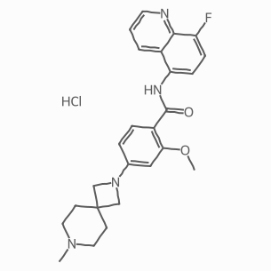 COc1cc(N2CC3(CCN(C)CC3)C2)ccc1C(=O)Nc1ccc(F)c2ncccc12.Cl